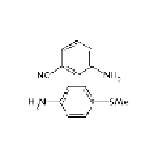 CSc1ccc(N)cc1.N#Cc1cccc(N)c1